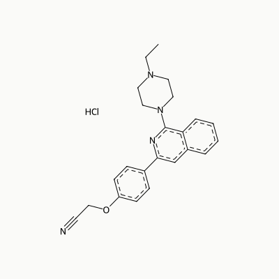 CCN1CCN(c2nc(-c3ccc(OCC#N)cc3)cc3ccccc23)CC1.Cl